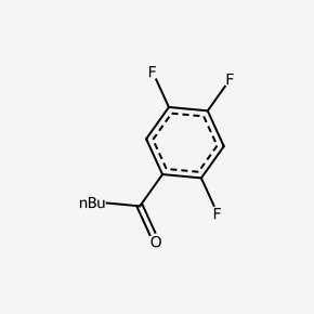 CCCCC(=O)c1cc(F)c(F)cc1F